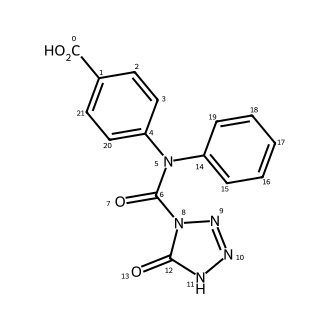 O=C(O)c1ccc(N(C(=O)n2nn[nH]c2=O)c2ccccc2)cc1